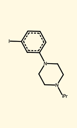 CC(C)N1CCN(c2cccc(I)c2)CC1